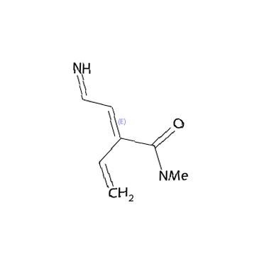 C=C/C(=C\C=N)C(=O)NC